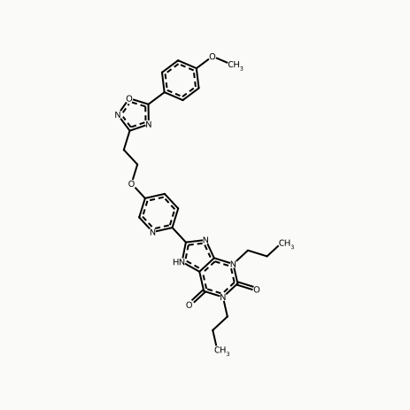 CCCn1c(=O)c2[nH]c(-c3ccc(OCCc4noc(-c5ccc(OC)cc5)n4)cn3)nc2n(CCC)c1=O